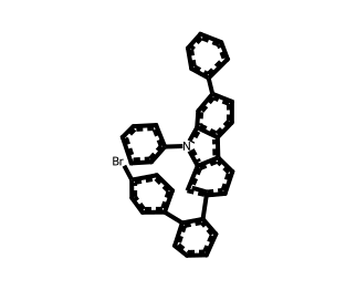 Brc1ccc(-c2ccccc2-c2ccc3c4ccc(-c5ccccc5)cc4n(-c4ccccc4)c3c2)cc1